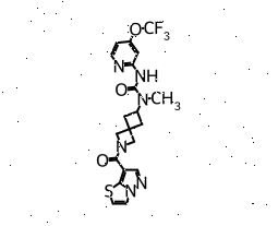 CN(C(=O)Nc1cc(OC(F)(F)F)ccn1)C1CC2(C1)CN(C(=O)c1cnn3ccsc13)C2